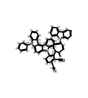 CC1C=CC(n2c3ccccc3c3ccccc32)=CCC1c1c(-n2c3ccccc3c3c4c5ccccc5n(-c5ccccc5)c4ccc32)ccc(C#N)c1C#N